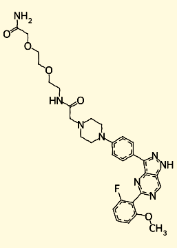 COc1cccc(F)c1-c1ncc2[nH]nc(-c3ccc(N4CCN(CC(=O)NCCOCCOCC(N)=O)CC4)cc3)c2n1